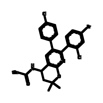 CC1(C)CC(NC(=O)C(C)(C)C)c2cc(-c3ccc(Cl)cc3)c(-c3ccc(Br)cc3Cl)nc2O1